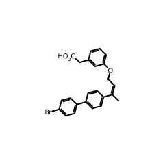 C/C(=C/COc1cccc(CC(=O)O)c1)c1ccc(-c2ccc(Br)cc2)cc1